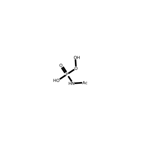 CC(=O)NP(=O)(O)OO